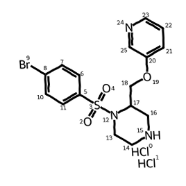 Cl.Cl.O=S(=O)(c1ccc(Br)cc1)N1CCNCC1COc1cccnc1